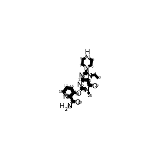 CCn1c(N2CCNCC2)nc2nc(Oc3cccnc3C(N)=O)n(C)c(=O)c21